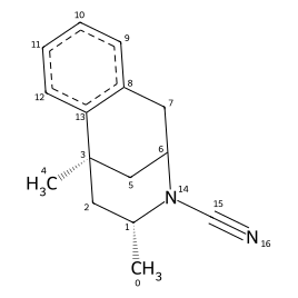 C[C@@H]1C[C@]2(C)CC(Cc3ccccc32)N1C#N